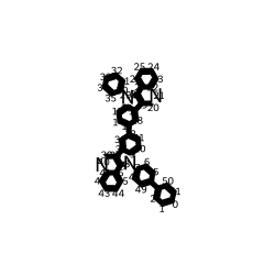 c1ccc(-c2ccc(-n3c4ccc(-c5ccc6c(c5)c5cnc7ccccc7c5n6-c5ccccc5)cc4c4cnc5ccccc5c43)cc2)cc1